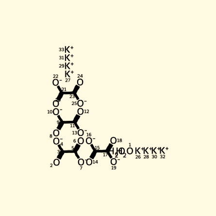 O.O.O=C([O-])C(=O)[O-].O=C([O-])C(=O)[O-].O=C([O-])C(=O)[O-].O=C([O-])C(=O)[O-].[K+].[K+].[K+].[K+].[K+].[K+].[K+].[K+]